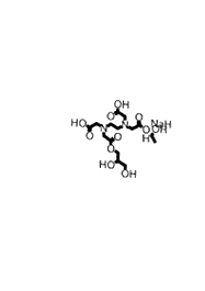 CCO.O=C(O)CN(CCN(CC(=O)O)CC(=O)OCC(O)CO)CC(=O)O.[NaH]